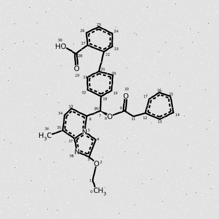 CCOc1cn2c([C@H](OC(=O)Cc3ccccc3)c3ccc(-c4ccccc4C(=O)O)cc3)ccc(C)c2n1